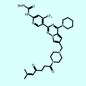 CNC(=O)Nc1cc(C(F)(F)F)c(-c2nc(N3CCCCC3)c3cc(CN4CCN(C(=O)CCC(=O)C=C(C)C)CC4)cn3n2)cn1